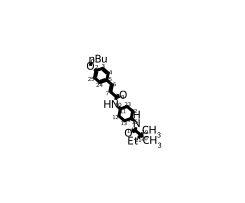 CCCCOc1ccc(/C=C/C(=O)NC2CCC(NC(=O)C(C)(C)CC)CC2)cc1